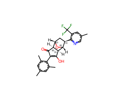 Cc1cc(C)c(C2=C(O)[C@@H]3[C@@H]4O[C@@H](C[C@H]4c4ncc(C)cc4C(F)(F)F)[C@@H]3C2=O)c(C)c1